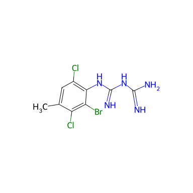 Cc1cc(Cl)c(NC(=N)NC(=N)N)c(Br)c1Cl